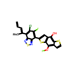 C=C/C=C(\SC)c1c(Cl)c(F)c(-c2cc3c(O)c4sccc4c(OF)c3s2)c2nsnc12